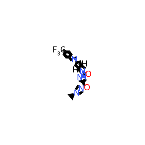 CN(Cc1ccc(C(F)(F)F)cc1)[C@@H]1C[C@@H]2CN(C(=O)n3cc(C(=O)N4CCN(C5CC5)CC4)cn3)C[C@@H]2C1